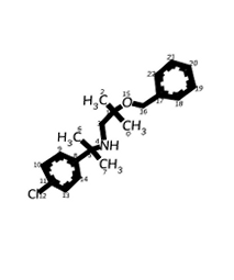 CC(C)(CNC(C)(C)c1ccc(Cl)cc1)OCc1ccccc1